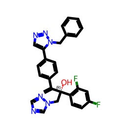 C=C(c1ccc(-c2cnnn2Cc2ccccc2)cc1)[C@](O)(Cn1cncn1)c1ccc(F)cc1F